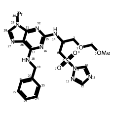 COCOCC(CS(=O)(=O)n1cncn1)Nc1nc(NCc2ccccc2)c2ncn(C(C)C)c2n1